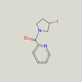 O=C(c1ccccn1)N1CCC(I)C1